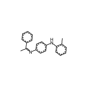 CC(=Nc1ccc(Nc2ccccc2C)cc1)c1ccccc1